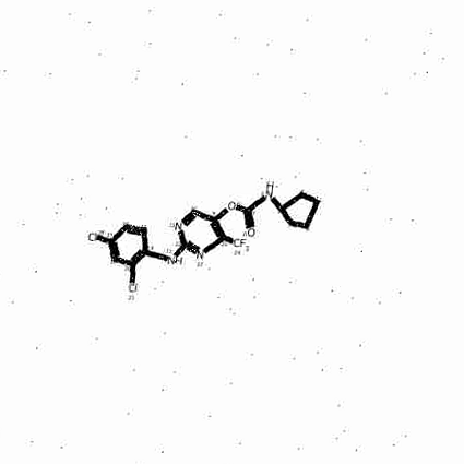 O=C(NC1CCCC1)Oc1cnc(Nc2ccc(Cl)cc2Cl)nc1C(F)(F)F